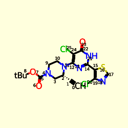 C#C[C@@H]1CN(C(=O)OC(C)(C)C)CCN1c1nc(-c2scnc2Cl)[nH]c(=O)c1Cl